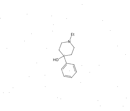 CCN1CCC(O)(c2ccccc2)CC1